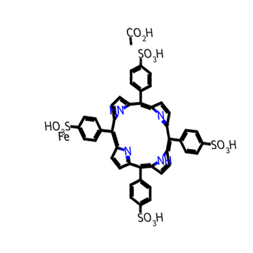 CC(=O)O.O=S(=O)(O)c1ccc(-c2c3nc(c(-c4ccc(S(=O)(=O)O)cc4)c4ccc([nH]4)c(-c4ccc(S(=O)(=O)O)cc4)c4nc(c(-c5ccc(S(=O)(=O)O)cc5)c5ccc2[nH]5)C=C4)C=C3)cc1.[Fe]